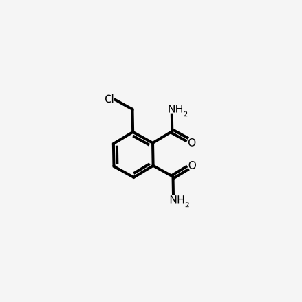 NC(=O)c1cccc(CCl)c1C(N)=O